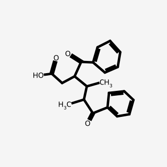 CC(C(=O)c1ccccc1)C(C)C(CC(=O)O)C(=O)c1ccccc1